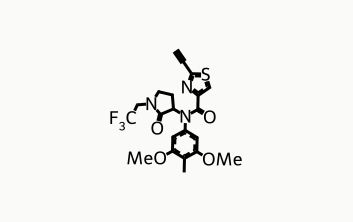 C#Cc1nc(C(=O)N(c2cc(OC)c(C)c(OC)c2)C2CCN(CC(F)(F)F)C2=O)cs1